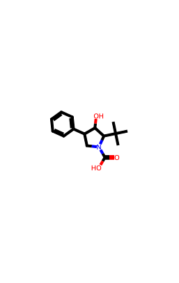 CC(C)(C)C1C(O)C(c2ccccc2)CN1C(=O)O